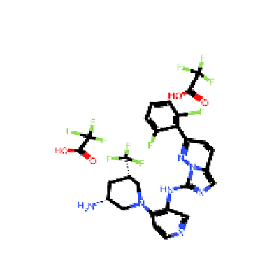 N[C@@H]1C[C@H](C(F)(F)F)CN(c2ccncc2Nc2ncc3ccc(-c4c(F)cccc4F)nn23)C1.O=C(O)C(F)(F)F.O=C(O)C(F)(F)F